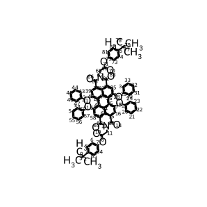 CC(C)(C)c1ccc(OC(=O)CN2C(=O)c3cc(Oc4ccccc4)c4c5c(Oc6ccccc6)cc6c7c(cc(Oc8ccccc8)c(c8c(Oc9ccccc9)cc(c3c48)C2=O)c75)C(=O)N(CC(=O)Oc2ccc(C(C)(C)C)cc2)C6=O)cc1